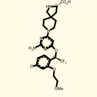 COCCOc1cc(Cl)ccc1[C@@H](Oc1cc(N2CCC3(CC2)CN[C@H](C(=O)O)C3)nc(N)n1)C(F)(F)F